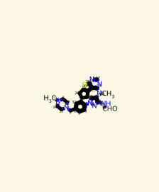 CN1CCN(Cc2ccc(-n3cc(N(C)c4ncnc5sc6c(c45)CCC6)c(NC=O)n3)cc2)CC1